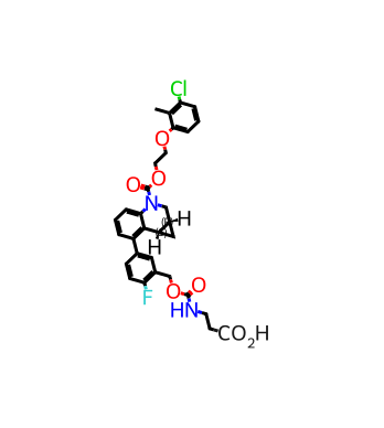 Cc1c(Cl)cccc1OCCOC(=O)N1C[C@@H]2C[C@@H]2c2c(-c3ccc(F)c(COC(=O)NCCC(=O)O)c3)cccc21